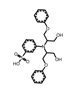 O=S(=O)(O)c1cccc(N(C(CO)COc2ccccc2)C(CO)COc2ccccc2)c1